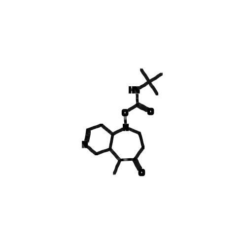 CC1C(=O)CCN(OC(=O)NC(C)(C)C)C2CC=NCC12